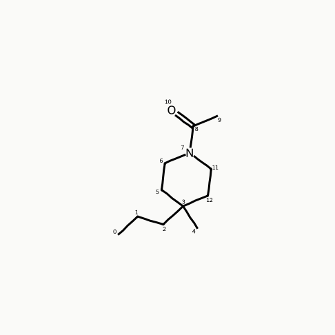 CCCC1(C)CCN(C(C)=O)CC1